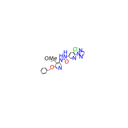 CO[C@@H](C)c1c(NC(=O)Nc2cnc(-n3nccn3)c(Cl)c2)cncc1OCc1ccccc1